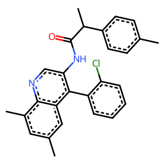 Cc1ccc(C(C)C(=O)Nc2cnc3c(C)cc(C)cc3c2-c2ccccc2Cl)cc1